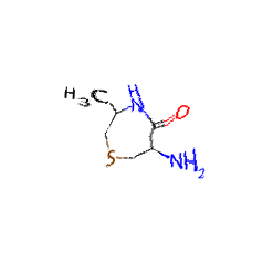 CC1CSC[C@H](N)C(=O)N1